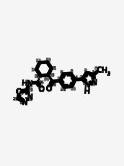 Cc1cc(-c2ccc(C(=O)[C@@H]3CCCC[C@H]3C(=O)Nc3nnco3)cc2)[nH]n1